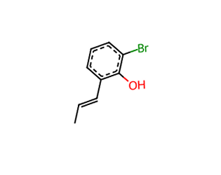 CC=Cc1cccc(Br)c1O